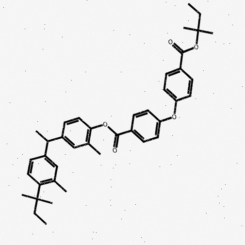 CCC(C)(C)OC(=O)c1ccc(Oc2ccc(C(=O)Oc3ccc(C(C)c4ccc(C(C)(C)CC)c(C)c4)cc3C)cc2)cc1